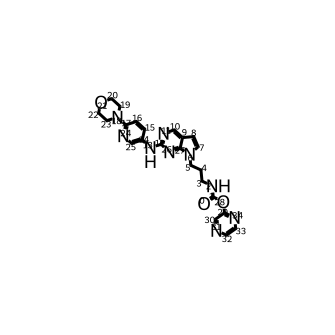 O=C(NCCCn1ccc2cnc(Nc3ccc(N4CCOCC4)nc3)nc21)Oc1cnccn1